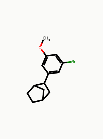 COc1cc(Br)cc(C2CC3CCC2C3)c1